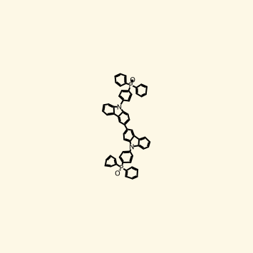 O=P(c1ccccc1)(c1ccccc1)c1ccc(-n2c3ccccc3c3cc(-c4ccc5c(c4)c4ccccc4n5-c4ccc(P(=O)(c5ccccc5)c5ccccc5)cc4)ccc32)cc1